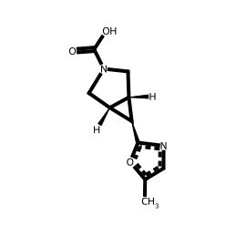 Cc1cnc([C@H]2[C@@H]3CN(C(=O)O)C[C@@H]32)o1